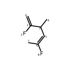 C=C(F)C(C)/C=C(\C)F